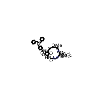 CO[C@H]1C[C@H](C)CC2=C(NC(=O)c3ccc(CN(Cc4ccccc4)Cc4ccccc4)cc3)C(=O)C=C(NC(=O)/C(C)=C/C=C\[C@H](OC)[C@@H](OC(N)=O)/C(C)=C/[C@H](C)C1)C2=O